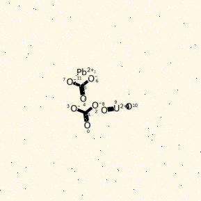 O=C([O-])[O-].O=C([O-])[O-].[O]=[U+2]=[O].[Pb+2]